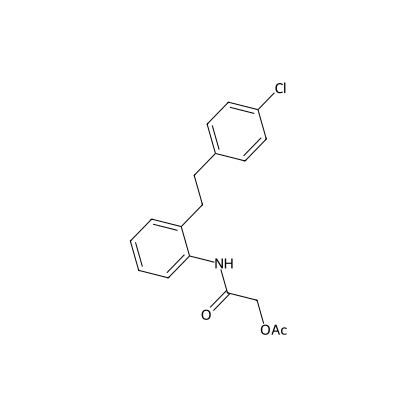 CC(=O)OCC(=O)Nc1ccccc1CCc1ccc(Cl)cc1